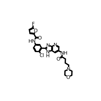 O=C(CCCN1CCOCC1)Nc1cnc2nc(-c3cc(NC(=O)c4ccc(F)o4)ccc3Cl)[nH]c2c1